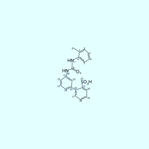 Cc1ccccc1NC(=O)Nc1cccc(-c2ccccc2S(=O)(=O)O)c1